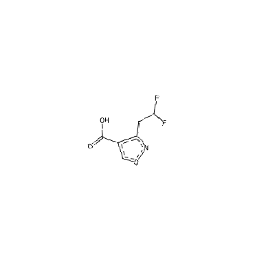 O=C(O)c1conc1CC(F)F